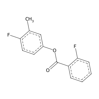 Cc1cc(OC(=O)c2ccccc2F)ccc1F